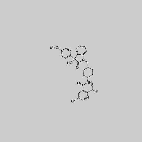 COc1ccc(C2(O)C(=O)N(C[C@H]3CC[C@H](NC(=O)c4cc(Cl)cnc4C(F)F)CC3)c3ccccc32)cc1